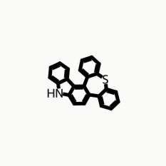 c1ccc2c(c1)Sc1ccccc1-c1c-2ccc2[nH]c3ccccc3c12